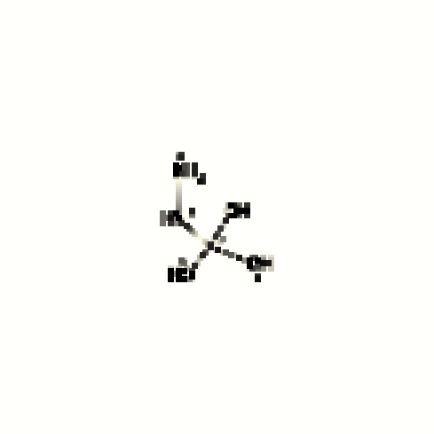 NNC(O)(O)O